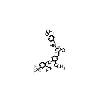 COc1ccc(CNC2=NC(=O)C(=Cc3ccc(OCc4ccc(C(F)(F)F)cc4C(F)(F)F)c(OC)c3)S2)cc1